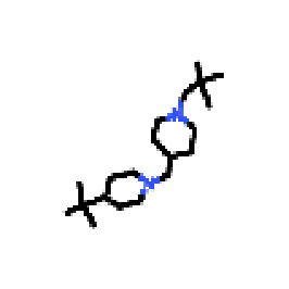 CC(C)(C)CN1CCC(CN2CCC(C(C)(C)C)CC2)CC1